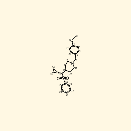 COc1ccc(CN2CCC(N(C3CC3)S(=O)(=O)c3ccccc3)CC2)cc1